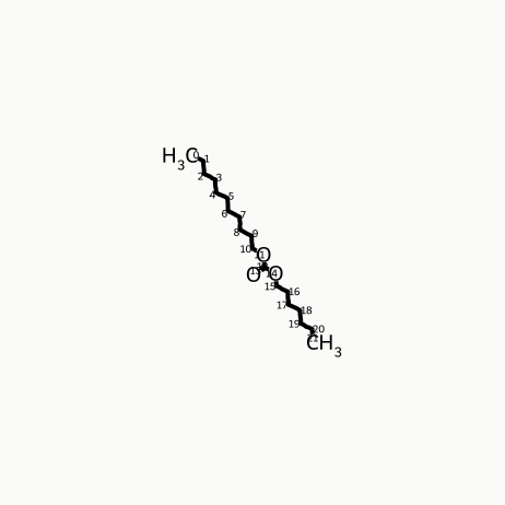 CCCCCCCCCCCOC(=O)OCCCCCCC